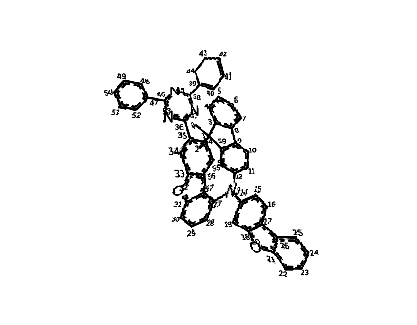 CC1(C)c2ccccc2-c2ccc(N(c3ccc4c(c3)oc3ccccc34)c3cccc4oc5cc(-c6nc(C7=CC=CCC7)nc(-c7ccccc7)n6)ccc5c34)cc21